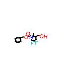 CC1C(CO)CC(F)(F)CN1C(=O)OCc1ccccc1